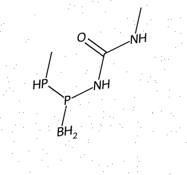 BP(NC(=O)NC)PC